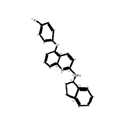 Fc1ccc(Oc2cccc3nc(N[C@@H]4CCc5ccccc54)ccc23)cc1